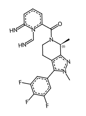 C[C@H]1c2nn(C)c(-c3cc(F)c(F)c(F)c3)c2CCN1C(=O)c1cccc(=N)n1C=N